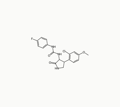 COc1ccc(C2CNC(=O)C2NC(=O)Nc2ccc(F)cc2)c(Cl)c1